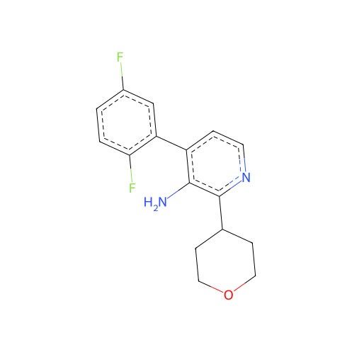 Nc1c(-c2cc(F)ccc2F)ccnc1C1CCOCC1